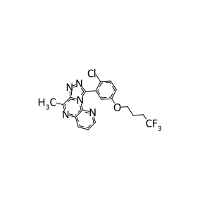 Cc1nc2cccnc2n2c(-c3cc(OCCCC(F)(F)F)ccc3Cl)nnc12